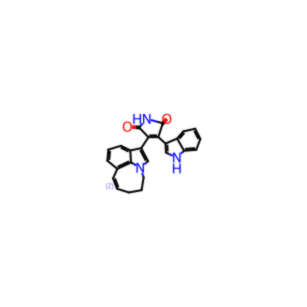 O=C1NC(=O)C(c2cn3c4c(cccc24)/C=C\CCC3)=C1c1c[nH]c2ccccc12